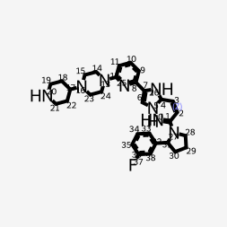 N=C(/C=C\C1NC=C(c2cccc(N3CCN(C4CCNCC4)CC3)n2)N1)N1CCCC1c1cccc(F)c1